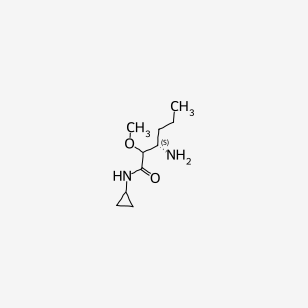 CCC[C@H](N)C(OC)C(=O)NC1CC1